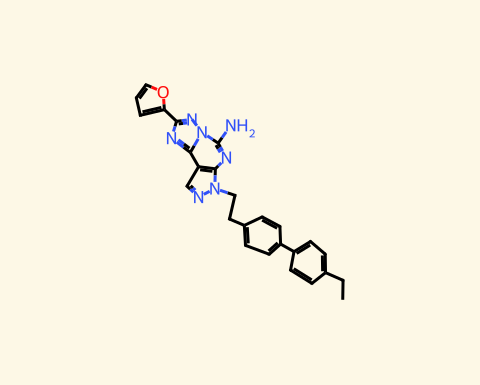 CCc1ccc(-c2ccc(CCn3ncc4c3nc(N)n3nc(-c5ccco5)nc43)cc2)cc1